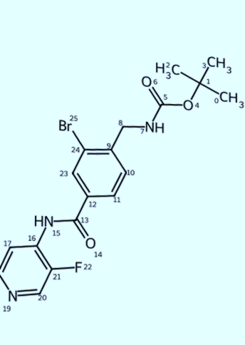 CC(C)(C)OC(=O)NCc1ccc(C(=O)Nc2ccncc2F)cc1Br